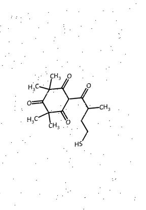 CC(CCS)C(=O)C1C(=O)C(C)(C)C(=O)C(C)(C)C1=O